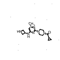 CS1=NC(N2CCN(C(=O)C3CC3)CC2)=NC(NC2CNC2)=C1